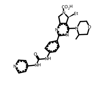 CC[C@H]1c2c(nc(-c3ccc(NC(=O)Nc4ccncc4)cc3)nc2N2CCOCC2C)CN1C(=O)O